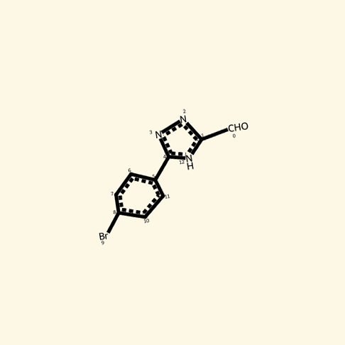 O=Cc1nnc(-c2ccc(Br)cc2)[nH]1